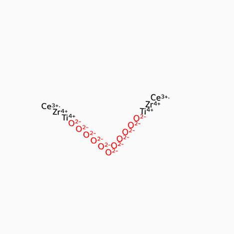 [Ce+3].[Ce+3].[O-2].[O-2].[O-2].[O-2].[O-2].[O-2].[O-2].[O-2].[O-2].[O-2].[O-2].[Ti+4].[Ti+4].[Zr+4].[Zr+4]